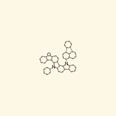 c1ccc(-n2c3ccc4c5ccccc5n(-c5ccc6c7c(cccc57)-c5ccccc5-6)c4c3c3ccc4oc5ccccc5c4c32)cc1